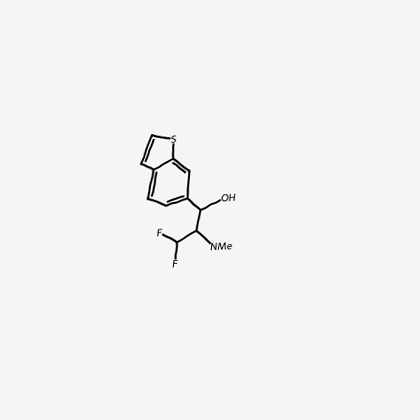 CNC(C(F)F)C(O)c1ccc2ccsc2c1